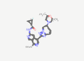 CNc1ncc(-c2nc3ccc(N4C[C@@H](C)O[C@@H](C)C4)cn3n2)c2cc(NC(=O)[C@@H]3C[C@@H]3F)ncc12